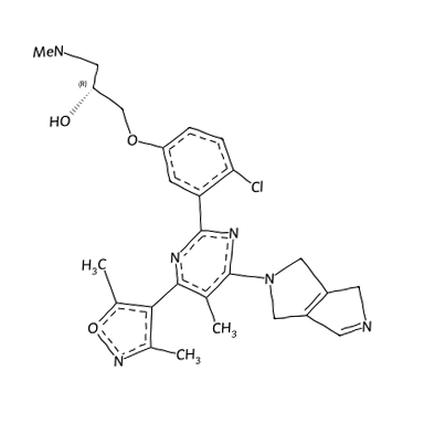 CNC[C@@H](O)COc1ccc(Cl)c(-c2nc(-c3c(C)noc3C)c(C)c(N3CC4=C(CN=C4)C3)n2)c1